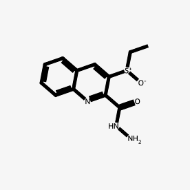 CC[S+]([O-])c1cc2ccccc2nc1C(=O)NN